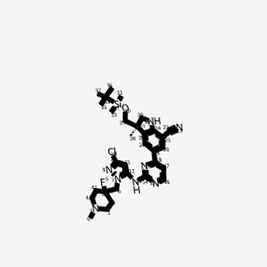 CN1CCC(F)(Cn2nc(Cl)cc2Nc2nccc(-c3cc(C#N)c4c(c3)[C@@](C)(CO[Si](C)(C)C(C)(C)C)CN4)n2)CC1